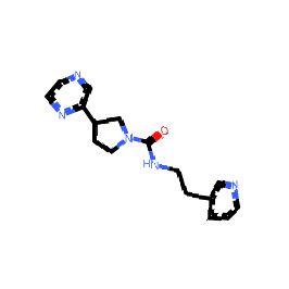 O=C(NCCc1cccnc1)N1CCC(c2cnccn2)C1